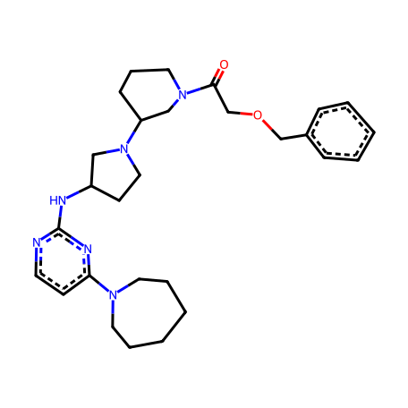 O=C(COCc1ccccc1)N1CCCC(N2CCC(Nc3nccc(N4CCCCCC4)n3)C2)C1